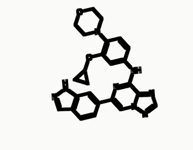 c1nc2c(Nc3ccc(N4CCOCC4)c(OC4CC4)c3)nc(-c3ccc4cn[nH]c4c3)cn2n1